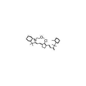 C=C(C=CC1=C(Cl)/C(=C/C=C2N(CCOC)c3ccccc3C2(C)C)CC1)C(C)(C)c1ccccc1C